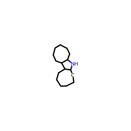 C1CCCC2C(CC1)NC1CCCCCCC12